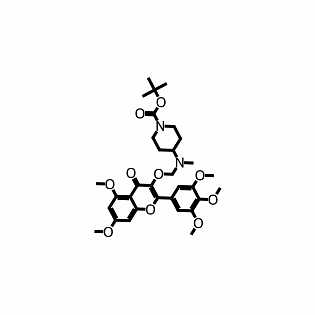 COc1cc(OC)c2c(=O)c(OCN(C)C3CCN(C(=O)OC(C)(C)C)CC3)c(-c3cc(OC)c(OC)c(OC)c3)oc2c1